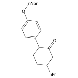 CCCCCCCCCOc1ccc(C2CCC(CCC)CC2=O)cc1